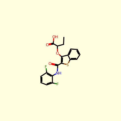 CCC(Oc1c(C(=O)Nc2c(F)cccc2F)sc2ccccc12)C(=O)O